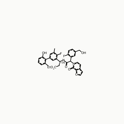 CCOC(=O)C[C@H](NC(=O)C(c1cc(CO)ccc1F)n1ccc2ccoc2c1=O)c1cc(-c2c(C)cccc2O)cc(C)c1F